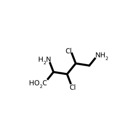 NCC(Cl)C(Cl)C(N)C(=O)O